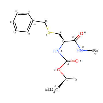 CCOC(=O)[C@H](C)OC(=O)N[C@@H](CSCc1ccccc1)C(=O)NC(C)CC